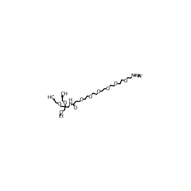 C#CCOCC(CNC(=O)CCOCCOCCOCCOCCOCCOCCN=[N+]=[N-])(COCC)OCC#C